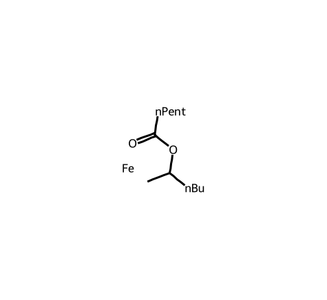 CCCCCC(=O)OC(C)CCCC.[Fe]